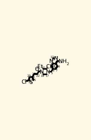 CC[C@H]1C(C=O)N(Cc2ccc3c(N)ncnc3c2)CCN1C(=O)C=Cc1csc(Cl)c1